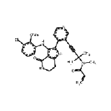 C=CC(=O)N(C)C(C)(C)C#Cc1cnccc1-c1[nH]c2c(c1Nc1cccc(Cl)c1OC)C(=O)NCC2